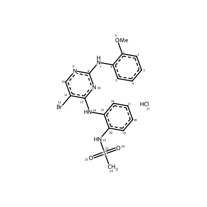 COc1ccccc1Nc1ncc(Br)c(Nc2ccccc2NS(C)(=O)=O)n1.Cl